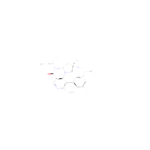 COc1ncc(C(=O)NC(C)C(F)(F)F)c(N2CC[C@](C)(N)C2)c1-c1cc(F)cc(OC(F)F)c1